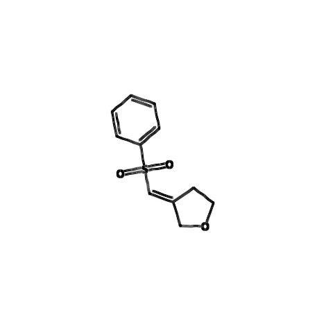 O=S(=O)(C=C1CCOC1)c1ccccc1